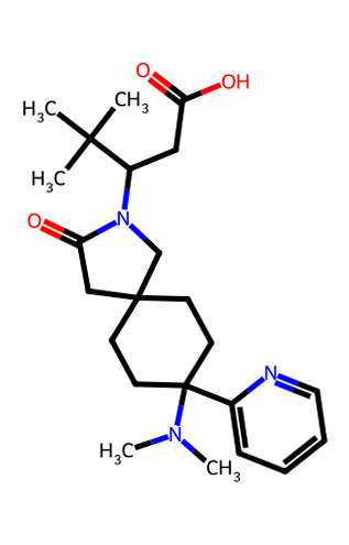 CN(C)C1(c2ccccn2)CCC2(CC1)CC(=O)N(C(CC(=O)O)C(C)(C)C)C2